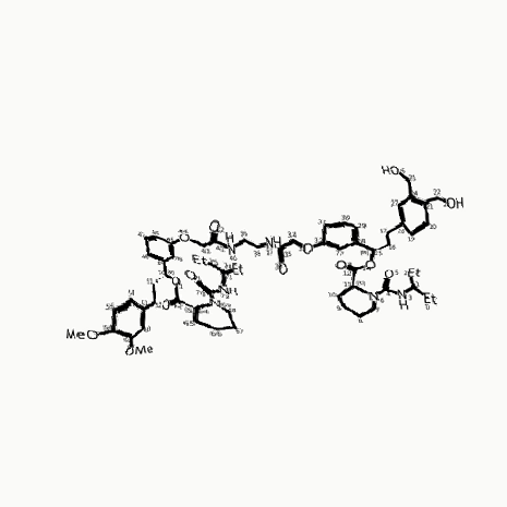 CCC(CC)NC(=O)N1CCCC[C@H]1C(=O)O[C@H](CCc1ccc(CO)c(CO)c1)c1cccc(OCC(=O)NCCNC(=O)COc2cccc([C@@H](CCc3ccc(OC)c(OC)c3)OC(=O)[C@@H]3CCCCN3C(=O)NC(CC)CC)c2)c1